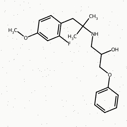 COc1ccc(CC(C)(C)NCC(O)COc2ccccc2)c(F)c1